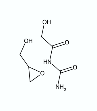 NC(=O)NC(=O)CO.OCC1CO1